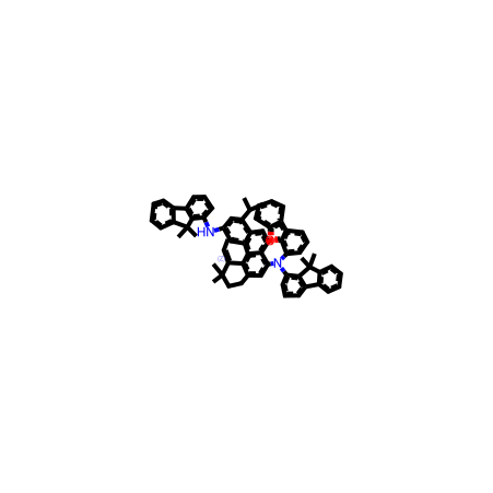 C/C=C1\c2c(cc(N(c3cccc4c3C(C)(C)c3ccccc3-4)c3cccc4c3oc3ccccc34)c3ccc4c(C(C)C)cc(Nc5cccc6c5C(C)(C)c5ccccc5-6)cc4c23)CCC1(C)C